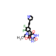 C[C@@H]1CN2c3c(cc(C#Cc4cccnc4)c(F)c3F)CC3(C(=O)NC(=O)NC3=O)[C@H]2[C@H](C)O1